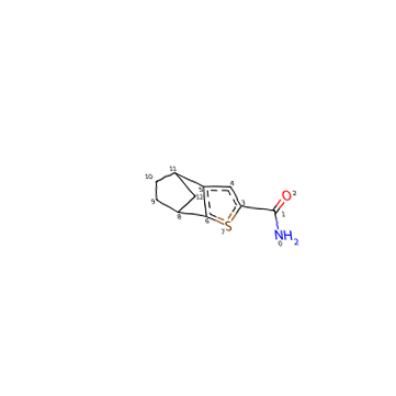 NC(=O)c1cc2c(s1)C1CCC2C1